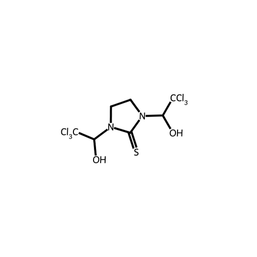 OC(N1CCN(C(O)C(Cl)(Cl)Cl)C1=S)C(Cl)(Cl)Cl